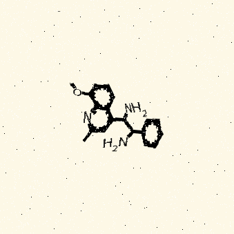 COc1cccc2c(C(N)C(N)c3ccccc3)cc(C)nc12